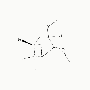 COC1C2C[C@@H](C[C@H]1OC)C2(C)C